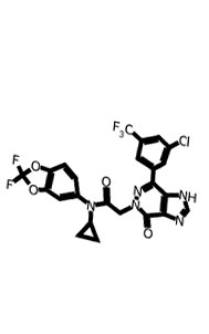 O=C(Cn1nc(-c2cc(Cl)cc(C(F)(F)F)c2)c2[nH]cnc2c1=O)N(c1ccc2c(c1)OC(F)(F)O2)C1CC1